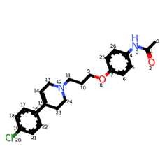 CC(=O)Nc1ccc(OCCCN2CC=C(c3ccc(Cl)cc3)CC2)cc1